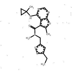 CCc1cc(CN(C)C(=O)c2c(C)oc3ncnc(NC4(C)CC4)c23)on1